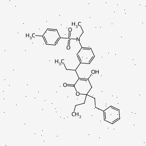 CCCC1(CCc2ccccc2)CC(O)=C(C(CC)c2cccc(N(CC)S(=O)(=O)c3ccc(C)cc3)c2)C(=O)O1